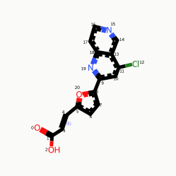 O=C(O)/C=C/c1ccc(-c2cc(Cl)c3cnccc3n2)o1